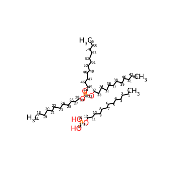 CCCCCCCCCCCCCOP(O)O.CCCCCCCCCCCCOP(OCCCCCCCCCCCC)OCCCCCCCCCCCC